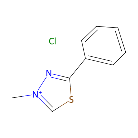 C[n+]1csc(-c2ccccc2)n1.[Cl-]